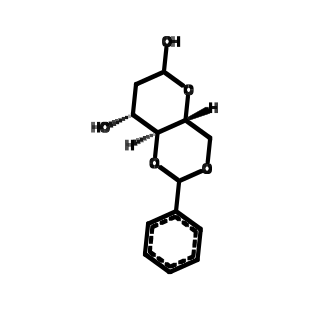 OC1C[C@@H](O)[C@@H]2OC(c3ccccc3)OC[C@H]2O1